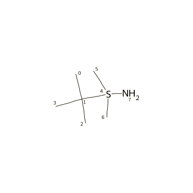 CC(C)(C)S(C)(C)N